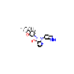 CC1(C)COc2cc(NC(=O)c3cccnc3Nc3ccc4cn[nH]c4c3)ccc21